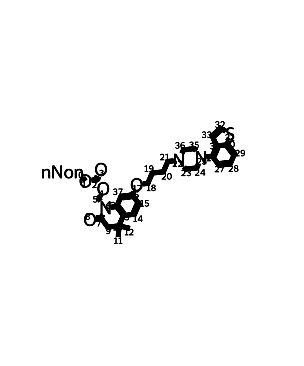 CCCCCCCCCOC(=O)OCN1C(=O)CC(C)(C)c2ccc(OCCCCN3CCN(c4cccc5sccc45)CC3)cc21